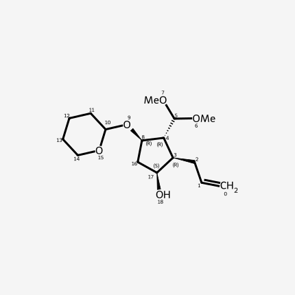 C=CC[C@@H]1[C@@H](C(OC)OC)[C@H](OC2CCCCO2)C[C@@H]1O